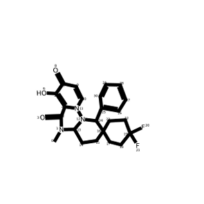 CN1C(=O)c2c(O)c(=O)ccn2N2C1CCC1(CCC(F)(F)CC1)C2c1ccccc1